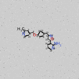 Cc1cc(COc2ccc(CC3=NOC(c4cccnc4N)C3)cc2)ccn1